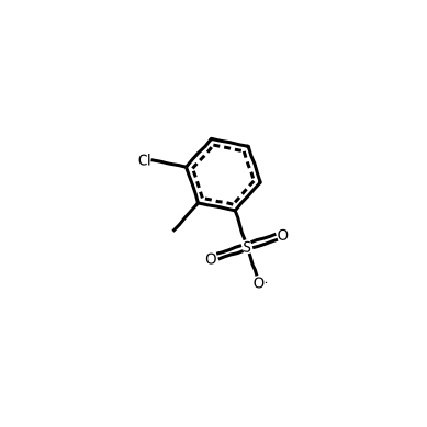 Cc1c(Cl)cccc1S([O])(=O)=O